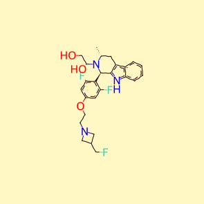 C[C@@H]1Cc2c([nH]c3ccccc23)[C@@H](c2c(F)cc(OCCN3CC(CF)C3)cc2F)N1C(O)CO